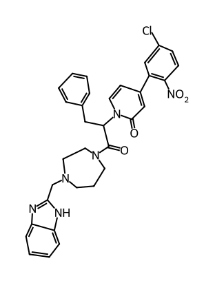 O=C(C(Cc1ccccc1)n1ccc(-c2cc(Cl)ccc2[N+](=O)[O-])cc1=O)N1CCCN(Cc2nc3ccccc3[nH]2)CC1